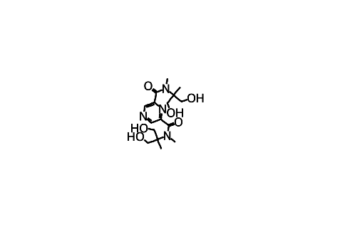 CN(C(=O)c1cncc(C(=O)N(C)C(C)(CO)CO)n1)C(C)(CO)CO